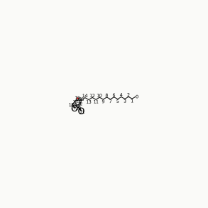 CCCCCCCCCCCCCCCC1CC23COC(=O)C1(C2)C3